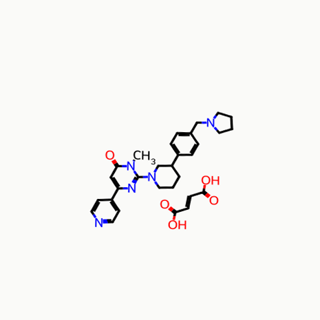 Cn1c(N2CCCC(c3ccc(CN4CCCC4)cc3)C2)nc(-c2ccncc2)cc1=O.O=C(O)C=CC(=O)O